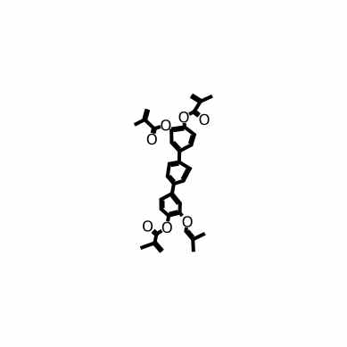 C=C(C)C(=O)Oc1ccc(-c2ccc(-c3ccc(OC(=O)C(=C)C)c(OC(=O)C(=C)C)c3)cc2)cc1OC=C(C)C